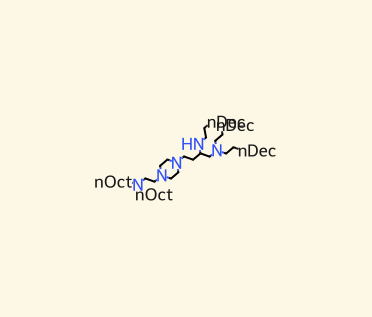 CCCCCCCCCCCCNC(CCN1CCN(CCN(CCCCCCCC)CCCCCCCC)CC1)CN(CCCCCCCCCCCC)CCCCCCCCCCCC